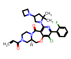 C=CC(=O)N1CCN2C(=O)c3c(N4CC(N5CCC5)CC4(C)C)nc(-c4ccccc4F)c(Cl)c3OC[C@H]2C1